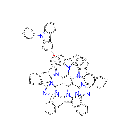 c1ccc(-c2nc(-c3ccccc3)nc(-c3c(-n4c5ccccc5c5ccccc54)c(-c4nc(-c5ccccc5)nc(-c5ccccc5)n4)c(-n4c5ccccc5c5ccccc54)c(-n4c5ccccc5c5cc(-c6ccc7c(c6)c6ccccc6n7-c6ccccc6)ccc54)c3-n3c4ccccc4c4ccccc43)n2)cc1